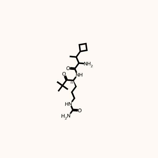 CC(C1CCC1)C(N)C(=O)N[C@@H](CCCNC(N)=O)C(=O)C(C)(C)C